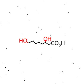 O=C(O)CC(O)CCCCCO